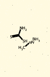 CCCC.NC(=S)S.[BiH3]